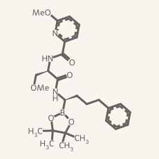 COC[C@@H](NC(=O)c1cccc(OC)n1)C(=O)N[C@@H](CCCc1ccccc1)B1OC(C)(C)C(C)(C)O1